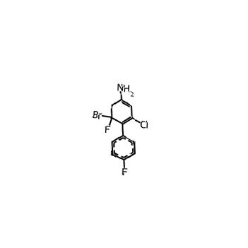 NC1=CC(Cl)=C(c2ccc(F)cc2)C(F)(Br)C1